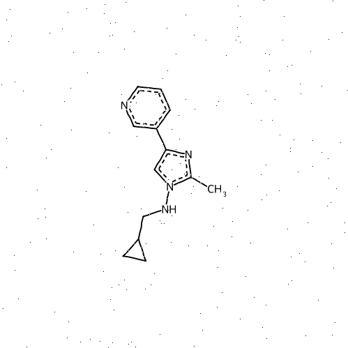 Cc1nc(-c2cccnc2)cn1NCC1CC1